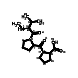 CN[C@H](C(=O)N1CCCC1C(=O)N1CCCC1C(=O)O)C(C)C